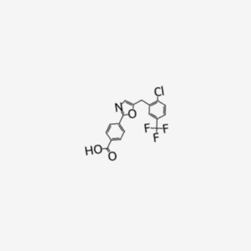 O=C(O)c1ccc(-c2ncc(Cc3cc(C(F)(F)F)ccc3Cl)o2)cc1